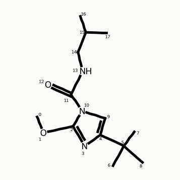 COc1nc(C(C)(C)C)cn1C(=O)NCC(C)C